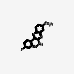 CCCCNc1nc2cc(C(=O)O)ccc2nc1-c1ccc(F)cc1